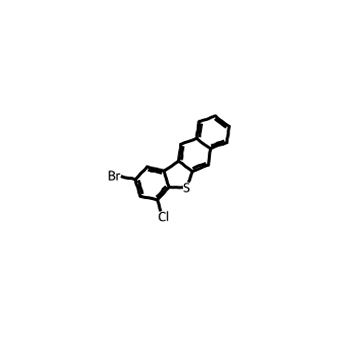 Clc1cc(Br)cc2c1sc1cc3ccccc3cc12